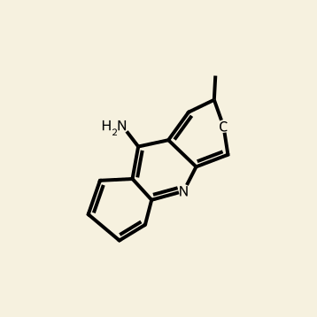 CC1C=c2c(N)c3ccccc3nc2=CC1